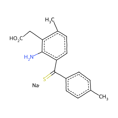 Cc1ccc(C(=S)c2ccc(C)c(CC(=O)O)c2N)cc1.[Na]